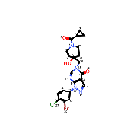 O=C(C1CC1)N1CCC(O)(Cn2cnc3c(cnn3-c3ccc(Cl)c(Br)c3)c2=O)CC1